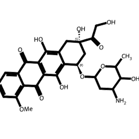 COc1cccc2c1C(=O)c1c(O)c3c(c(O)c1C2=O)C[C@@](O)(C(=O)CO)C[C@H]3OC1CC(N)C(O)C(C)O1